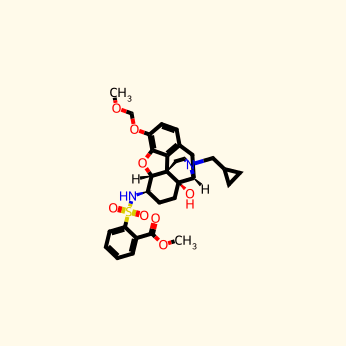 COCOc1ccc2c3c1O[C@H]1[C@H](NS(=O)(=O)c4ccccc4C(=O)OC)CC[C@@]4(O)[C@@H](C2)N(CC2CC2)CC[C@]314